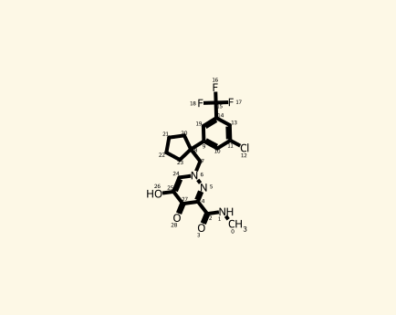 CNC(=O)c1nn(CC2(c3cc(Cl)cc(C(F)(F)F)c3)CCCC2)cc(O)c1=O